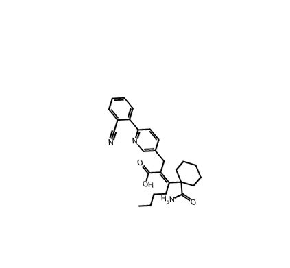 CCCC/C(=C(/Cc1ccc(-c2ccccc2C#N)nc1)C(=O)O)C1(C(N)=O)CCCCC1